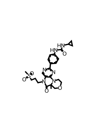 CC12COCCN1c1nc(-c3ccc(NC(=O)NC4CC4)cc3)ncc1N(CCCS(C)(=O)=O)C2=O